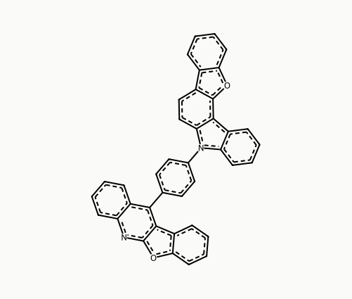 c1ccc2c(-c3ccc(-n4c5ccccc5c5c6oc7ccccc7c6ccc54)cc3)c3c(nc2c1)oc1ccccc13